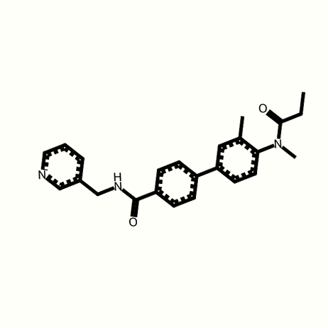 CCC(=O)N(C)c1ccc(-c2ccc(C(=O)NCc3cccnc3)cc2)cc1C